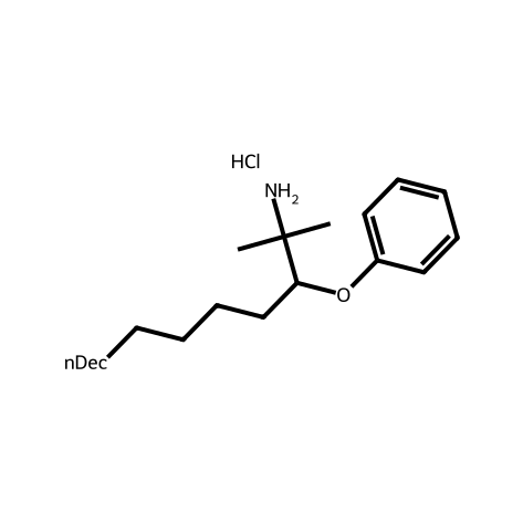 CCCCCCCCCCCCCCC(Oc1ccccc1)C(C)(C)N.Cl